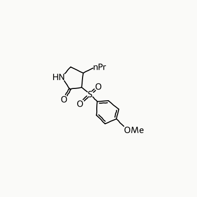 CCCC1CNC(=O)C1S(=O)(=O)c1ccc(OC)cc1